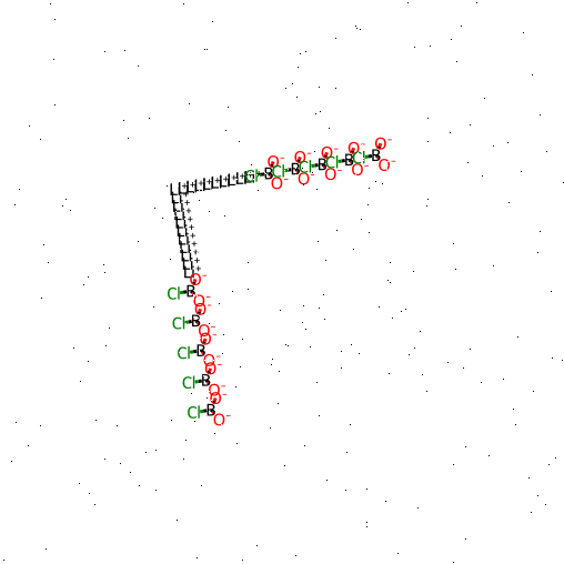 [Li+].[Li+].[Li+].[Li+].[Li+].[Li+].[Li+].[Li+].[Li+].[Li+].[Li+].[Li+].[Li+].[Li+].[Li+].[Li+].[Li+].[Li+].[Li+].[Li+].[O-]B([O-])Cl.[O-]B([O-])Cl.[O-]B([O-])Cl.[O-]B([O-])Cl.[O-]B([O-])Cl.[O-]B([O-])Cl.[O-]B([O-])Cl.[O-]B([O-])Cl.[O-]B([O-])Cl.[O-]B([O-])Cl